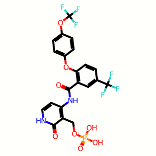 O=C(Nc1cc[nH]c(=O)c1COP(=O)(O)O)c1cc(C(F)(F)F)ccc1Oc1ccc(OC(F)(F)F)cc1